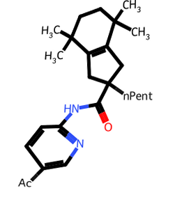 CCCCCC1(C(=O)Nc2ccc(C(C)=O)cn2)CC2=C(C1)C(C)(C)CCC2(C)C